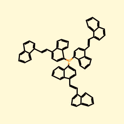 C(=C\c1ccc(P(c2ccc(/C=C/c3cccc4ccccc34)c3ccccc23)c2ccc(/C=C/c3cccc4ccccc34)c3ccccc23)c2ccccc12)/c1cccc2ccccc12